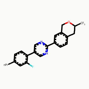 CCCc1ccc(-c2cnc(-c3ccc4c(c3)COC(C(F)(F)F)C4)nc2)c(F)c1